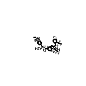 [2H]C([2H])(F)C([2H])([2H])n1c(Cc2ccc(Cl)cc2C(F)(F)F)cc2cc(C(=O)N[C@@H](CO)c3ccc(S(=O)(=O)CC)cc3)ccc21